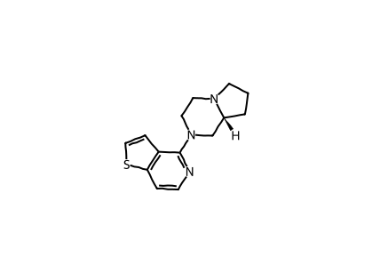 c1cc2sccc2c(N2CCN3CCC[C@@H]3C2)n1